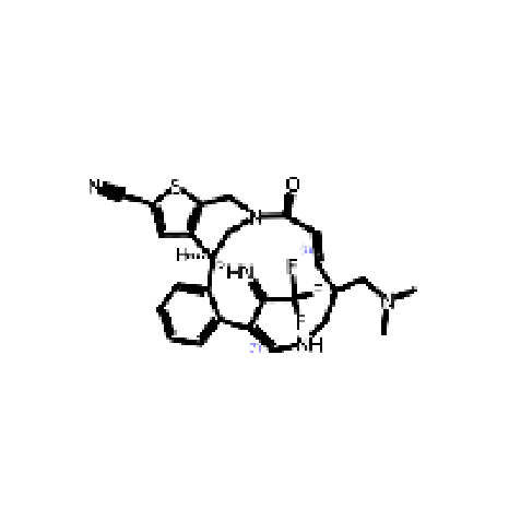 CN(C)CC1/C=C/C(=O)N2Cc3sc(C#N)cc3[C@@H](C2)c2ccccc2/C(C(=N)C(F)(F)F)=C/NC1